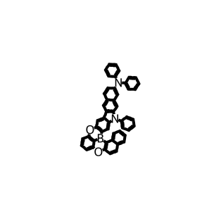 c1ccc(N(c2ccccc2)c2ccc3cc4c5cc6c(cc5n(-c5ccccc5)c4cc3c2)B2c3c(cccc3Oc3ccc4ccccc4c32)O6)cc1